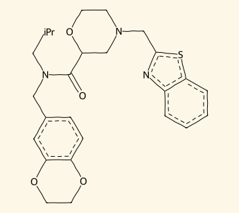 CC(C)CN(Cc1ccc2c(c1)OCCO2)C(=O)C1CN(Cc2nc3ccccc3s2)CCO1